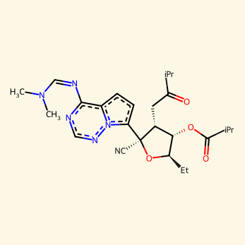 CC[C@H]1O[C@@](C#N)(c2ccc3c(/N=C\N(C)C)ncnn23)[C@H](CC(=O)C(C)C)[C@@H]1OC(=O)C(C)C